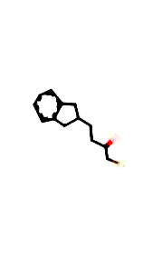 O=C(CBr)CCC1Cc2ccccc2C1